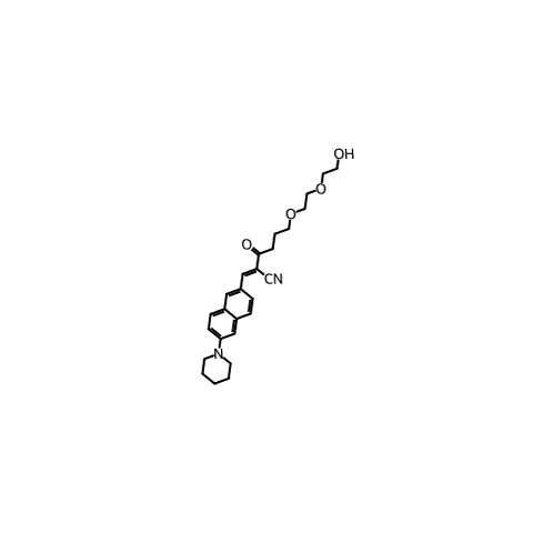 N#C/C(=C\c1ccc2cc(N3CCCCC3)ccc2c1)C(=O)CCCOCCOCCO